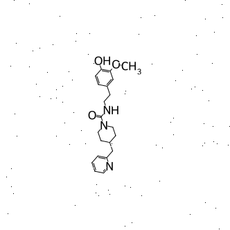 COc1cc(CCNC(=O)N2CCC(Cc3ccccn3)CC2)ccc1O